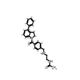 CC(=O)NCCNCc1ccc(C(=O)N2CCc3c(-c4ccccc4)cccc32)cc1